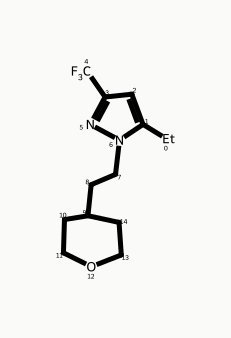 CCc1cc(C(F)(F)F)nn1CCC1CCOCC1